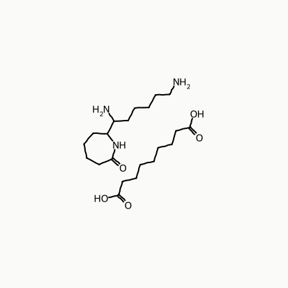 NCCCCCC(N)C1CCCCC(=O)N1.O=C(O)CCCCCCCC(=O)O